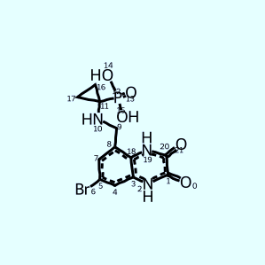 O=c1[nH]c2cc(Br)cc(CNC3(P(=O)(O)O)CC3)c2[nH]c1=O